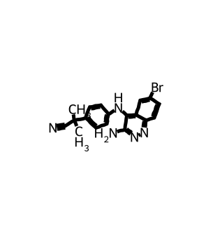 CC(C)(C#N)c1ccc(Nc2c(N)nnc3ccc(Br)cc23)cc1